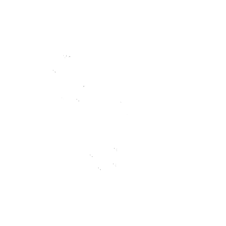 CON=C1C(=O)N2CC(CSc3nnnn3C)(C(=O)OC(c3ccccc3)c3ccccc3)CS[C@H]12